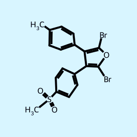 Cc1ccc(-c2c(Br)oc(Br)c2-c2ccc(S(C)(=O)=O)cc2)cc1